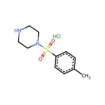 Cc1ccc(S(=O)(=O)N2CCNCC2)cc1.Cl